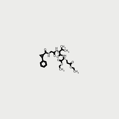 CCOC(=O)CC[C@@H](NC(=O)[C@@H](NC(=O)CNC(=O)C1CC1c1ccccc1)C(C)C)C(=O)OCC